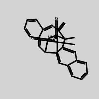 C=C1/C=c2/cccc/c2=C/C2c3cc4ccccc4cc3C1(C)C1C(=O)NC(=O)C21